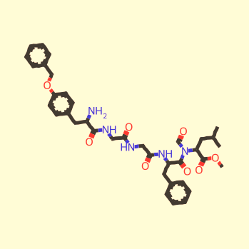 COC(=O)C(CC(C)C)N(C=O)C(=O)C(Cc1ccccc1)NC(=O)CNC(=O)CNC(=O)C(N)Cc1ccc(OCc2ccccc2)cc1